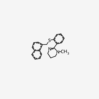 CN1CCCN=C1c1ccccc1SCc1cccc2ccccc12